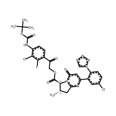 C[C@H]1Cc2nc(-c3cc(Cl)ccc3-n3cnnn3)cc(=O)n2[C@@H]1C(=O)OCC(=O)c1ccc(NC(=O)OC(C)(C)C)c(Cl)c1F